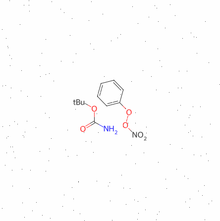 CC(C)(C)OC(N)=O.O=[N+]([O-])OOc1ccccc1